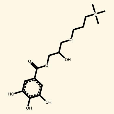 CS(C)(C)CCCOCC(O)COC(=O)c1cc(O)c(O)c(O)c1